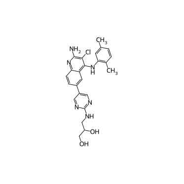 Cc1ccc(C)c(Nc2c(Cl)c(N)nc3ccc(-c4cnc(NCC(O)CO)nc4)cc23)c1